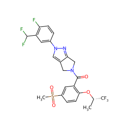 C[C@H](Oc1ccc(S(C)(=O)=O)cc1C(=O)N1Cc2cn(-c3ccc(F)c(C(F)F)c3)nc2C1)C(F)(F)F